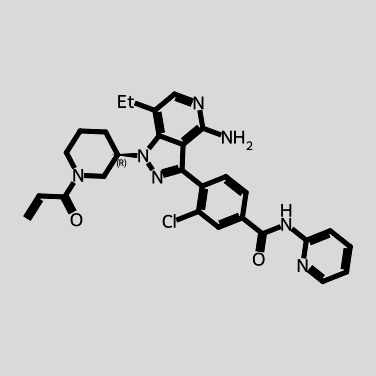 C=CC(=O)N1CCC[C@@H](n2nc(-c3ccc(C(=O)Nc4ccccn4)cc3Cl)c3c(N)ncc(CC)c32)C1